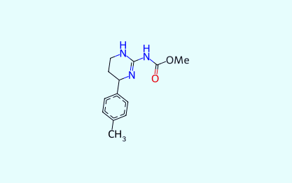 COC(=O)NC1=NC(c2ccc(C)cc2)CCN1